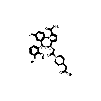 COc1cccc([C@H]2O[C@H](CC(=O)N3CCC(CC(=O)O)CC3)c3ccc(C(N)=O)n3-c3ccc(Cl)cc32)c1OC